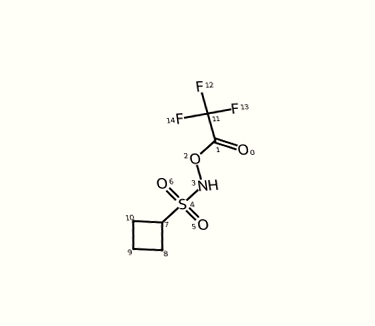 O=C(ONS(=O)(=O)C1CCC1)C(F)(F)F